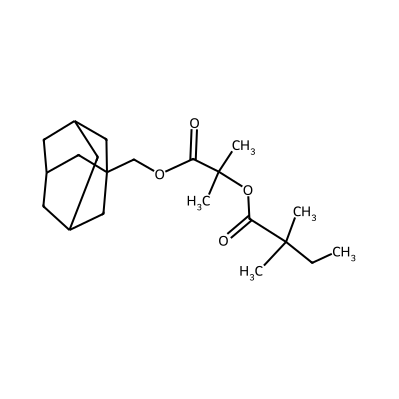 CCC(C)(C)C(=O)OC(C)(C)C(=O)OCC12CC3CC(CC(C3)C1)C2